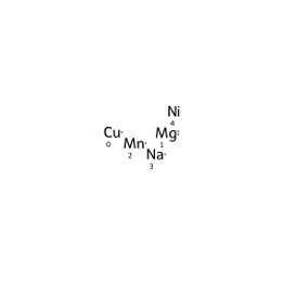 [Cu].[Mg].[Mn].[Na].[Ni]